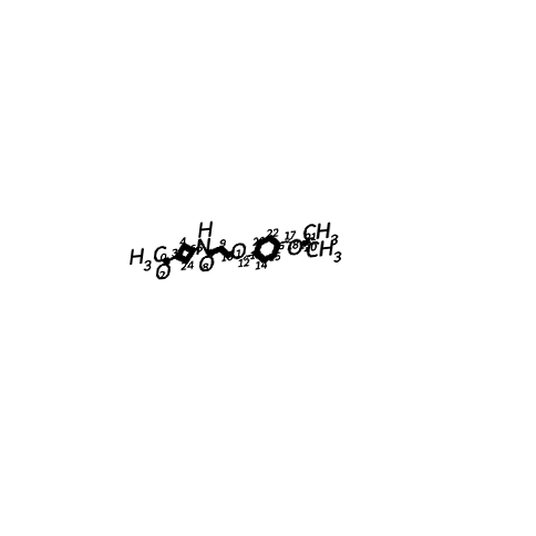 CC(=O)[C@H]1C[C@@H](NC(=O)CCOC[C@H]2CC[C@@H](COC(C)C)CC2)C1